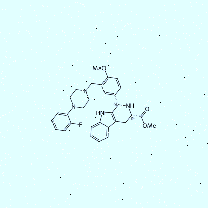 COC(=O)[C@@H]1Cc2c([nH]c3ccccc23)[C@H](c2ccc(OC)c(CN3CCN(c4ccccc4F)CC3)c2)N1